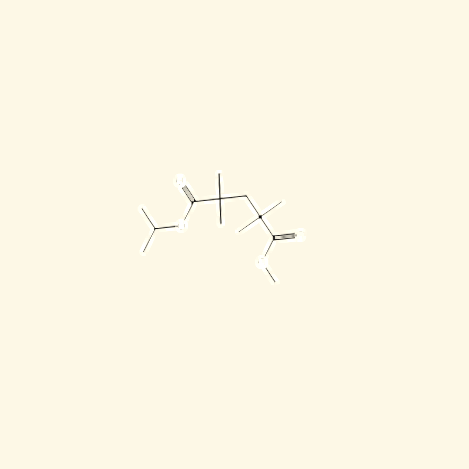 COC(=O)C(C)(C)CC(C)(C)C(=O)OC(C)C